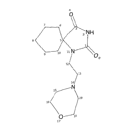 O=C1NC(=O)C2(CCCCC2)N1CCN1CCOCC1